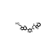 CC(CN(C)c1cc(-c2cnc3c(cnn3CCO)c2)ncn1)c1csc2cccnc12